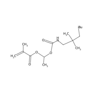 C=C(C)C(=O)OC(C)OC(=O)NCC(C)(C)CC(C)CC